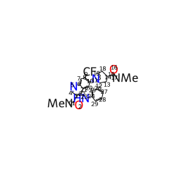 CNC(=O)c1cnc2cc(C(F)(F)F)c(N3CCC(C(=O)NC)CC3)cc2c1Nc1ccccc1